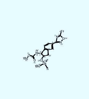 CCc1nc(-c2ccc3c(c2)CC(O[Si](C)(C)C(C)(C)C)[C@H]3NC(=O)OC(C)(C)C)no1